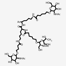 CC(=O)NC1C(OCCCCCC(=O)NCCCCC(NC(=O)C(CCCCNC(=O)CCCOC2OC(CO)C(O)C(O)C2NC(C)=O)NC(=O)CCCCCOC(OC(CO)[C@@H](C)O)[C@H](CO)NC(C)=O)C(C)=O)OC(CO)C(O)C1O